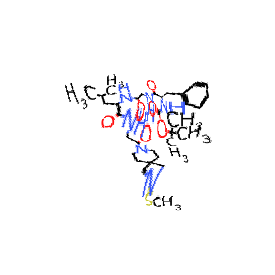 CSN1CC2(CCN(C(=O)CNC(=O)C(CC(C)C)NC(=O)CNC(=O)[C@@H](Cc3ccccc3)NC(=O)OC(C)(C)C)CC2)C1